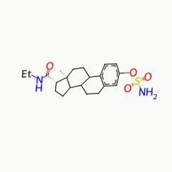 CCNC(=O)[C@H]1CCC2C3CCc4cc(OS(N)(=O)=O)ccc4C3CC[C@@]21C